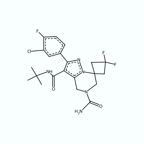 CC(C)(C)NC(=O)c1c(-c2ccc(F)c(Cl)c2)nn2c1CN(C(N)=O)CC21CC(F)(F)C1